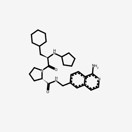 Nc1nccc2cc(CNC(=O)[C@@H]3CCCN3C(=O)[C@@H](CC3CCCCC3)NC3CCCC3)ccc12